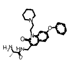 C[C@H](N)C(=O)NCc1cc2ccc(Oc3ccccc3)cc2n(CCN2CCCCC2)c1=O